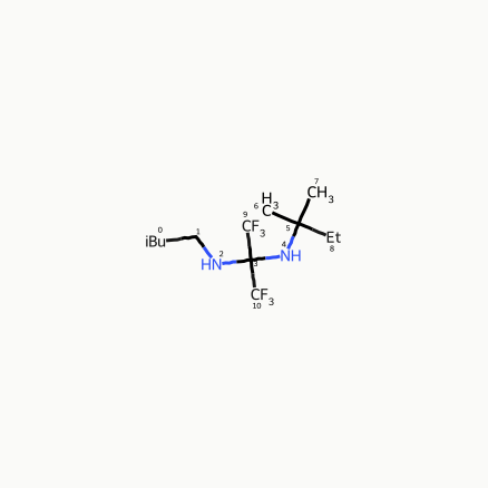 CCC(C)CNC(NC(C)(C)CC)(C(F)(F)F)C(F)(F)F